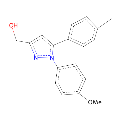 COc1ccc(-n2nc(CO)cc2-c2ccc(C)cc2)cc1